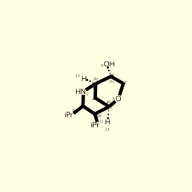 CC(C)C1N[C@@H]2C[C@@H](OC[C@H]2O)C1C(C)C